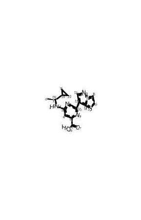 C[C@H](Nc1cc(C(=O)O)nc(-c2cnn3ccsc23)n1)C1CC1